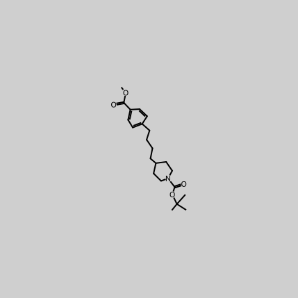 COC(=O)c1ccc(CCCCC2CCN(C(=O)OC(C)(C)C)CC2)cc1